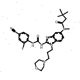 CN(C(=O)CC(C)(C)C)c1ccc2c(c1)nc(NC(=O)Nc1ccc(C#N)cc1F)n2CCCN1CCOCC1